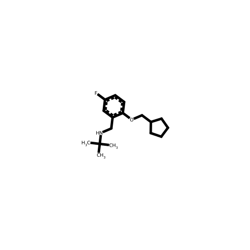 CC(C)(C)NCc1cc(F)ccc1OCC1CCCC1